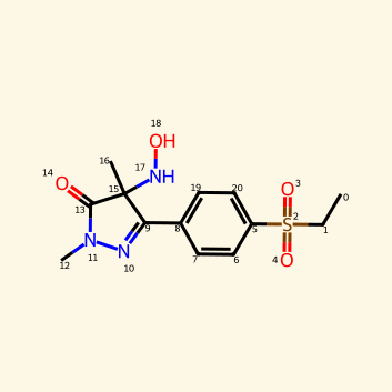 CCS(=O)(=O)c1ccc(C2=NN(C)C(=O)C2(C)NO)cc1